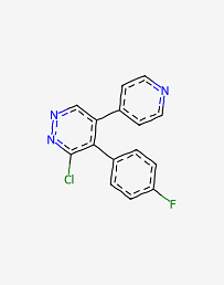 Fc1ccc(-c2c(-c3ccncc3)cnnc2Cl)cc1